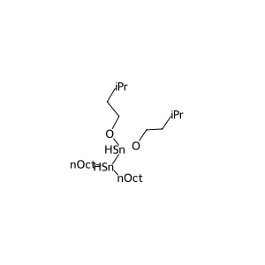 CCCCCCC[CH2][SnH]([CH2]CCCCCCC)[SnH]([O]CCC(C)C)[O]CCC(C)C